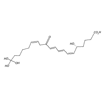 O=C(O)CCC[C@@H](O)\C=C/C=C/C=C/C(=O)C/C=C\CCCCC(O)(O)O